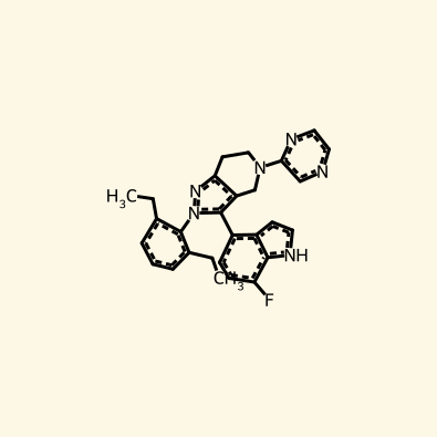 CCc1cccc(CC)c1-n1nc2c(c1-c1ccc(F)c3[nH]ccc13)CN(c1cnccn1)CC2